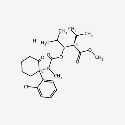 COC(=O)[C@H](C(C)C)N(OC(=O)N(C)[C@]1(c2ccccc2Cl)CCCCC1=O)C(C)C.[H+]